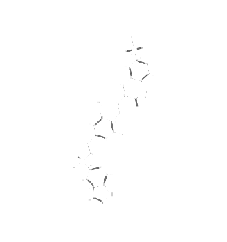 CP(=O)(CCc1cc(Cl)c(CNC(Cc2cccc(S(C)(=O)=O)c2)C(=O)O)c(Cl)c1)c1ccc2[nH]ccc2c1